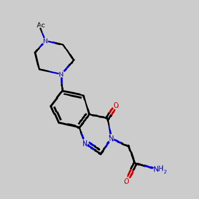 CC(=O)N1CCN(c2ccc3ncn(CC(N)=O)c(=O)c3c2)CC1